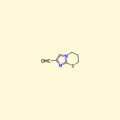 O=Cc1cn2c(n1)SCCC2